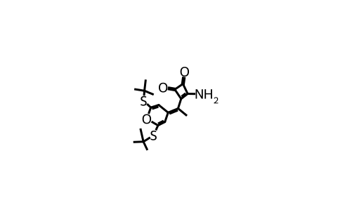 CC(=C1C=C(SC(C)(C)C)OC(SC(C)(C)C)=C1)c1c(N)c(=O)c1=O